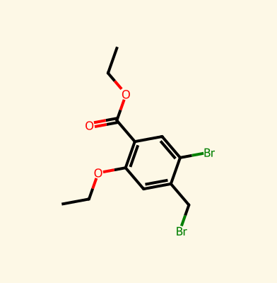 CCOC(=O)c1cc(Br)c(CBr)cc1OCC